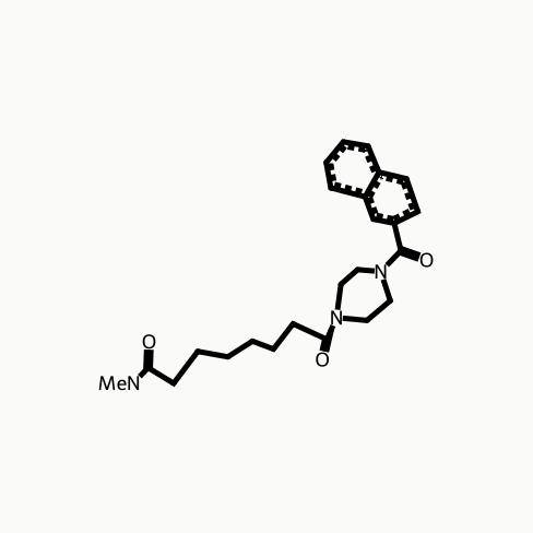 CNC(=O)CCCCCCC(=O)N1CCN(C(=O)c2ccc3ccccc3c2)CC1